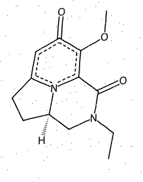 CCN1C[C@H]2CCc3cc(=O)c(OC)c(n32)C1=O